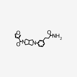 NC(=O)CCc1cccc(N2CC3CN(C(=O)c4ccoc4)CC3C2)c1